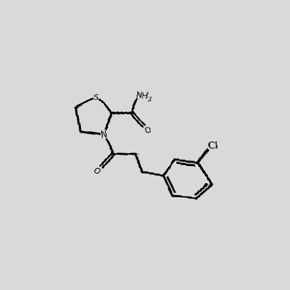 NC(=O)C1SCCN1C(=O)[CH]Cc1cccc(Cl)c1